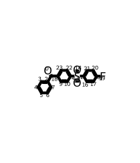 O=C(c1ccccc1)c1ccc(S(=O)(=O)c2ccc(F)cc2)cc1